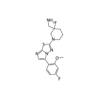 COc1cc(F)ccc1-c1cnc2sc(N3CCCC(F)(CN)C3)nn12